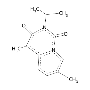 Cc1ccc2c(C)c(=O)n(C(C)C)c(=O)n2c1